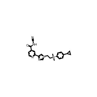 C[N+](C)(CCn1cnc(-c2cc(C(=O)NC#N)ccn2)c1)c1ccc(C2CC2)cc1